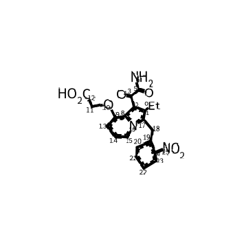 CCc1c(C(=O)C(N)=O)c2c(OCC(=O)O)cccn2c1Cc1ccccc1[N+](=O)[O-]